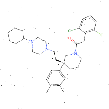 Cc1ccc([C@@]2(CCN3CCN(C4CCCCC4)CC3)CCCN(C(=O)Cc3c(F)cccc3Cl)C2)cc1C